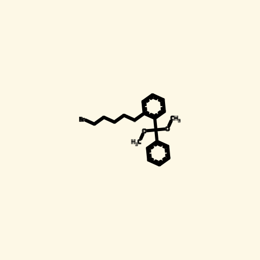 COC(OC)(c1ccccc1)c1ccccc1[CH]CCCCBr